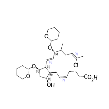 C/C(Cl)=C/CC(C)[C@@H](/C=C/[C@@H]1[C@@H](C/C=C\CCCC(=O)O)[C@@H](O)C[C@H]1OC1CCCCO1)OC1CCCCO1